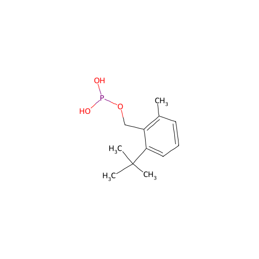 Cc1cccc(C(C)(C)C)c1COP(O)O